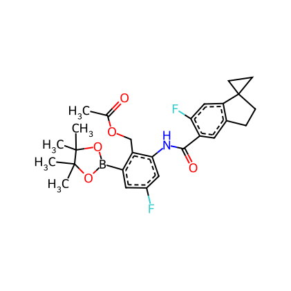 CC(=O)OCc1c(NC(=O)c2cc3c(cc2F)C2(CC3)CC2)cc(F)cc1B1OC(C)(C)C(C)(C)O1